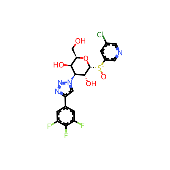 [O-][S+](c1cncc(Cl)c1)[C@H]1O[C@H](CO)[C@H](O)[C@H](n2cc(-c3cc(F)c(F)c(F)c3)nn2)[C@H]1O